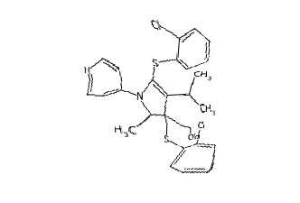 CC(C)C1=C(Sc2ccccc2Cl)N(c2ccncc2)C(C)C1(CO)Sc1ccccc1Cl